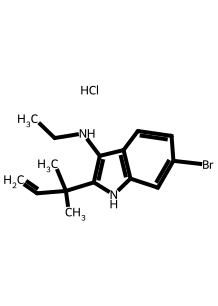 C=CC(C)(C)c1[nH]c2cc(Br)ccc2c1NCC.Cl